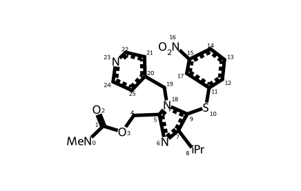 CNC(=O)OCc1nc(C(C)C)c(Sc2cccc([N+](=O)[O-])c2)n1Cc1ccncc1